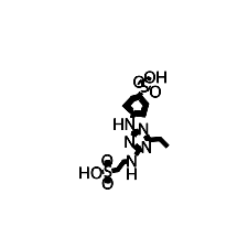 CCc1nc(NCCS(=O)(=O)O)nc(Nc2ccc(S(=O)(=O)O)cc2)n1